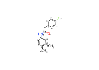 Cc1ccc(NC(=O)Cc2ccc(F)cc2)cc1C